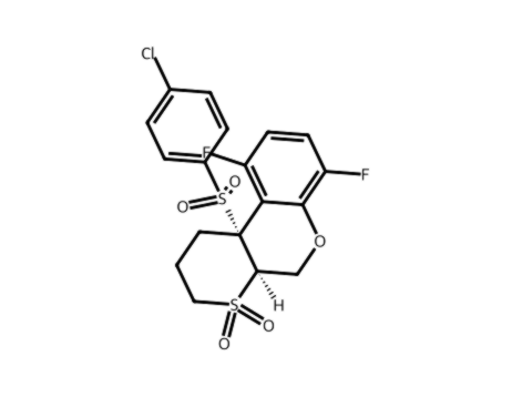 O=S1(=O)CCC[C@@]2(S(=O)(=O)c3ccc(Cl)cc3)c3c(F)ccc(F)c3OC[C@H]21